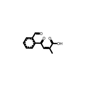 CC(=CC(=O)c1ccccc1[C]=O)C(=O)O